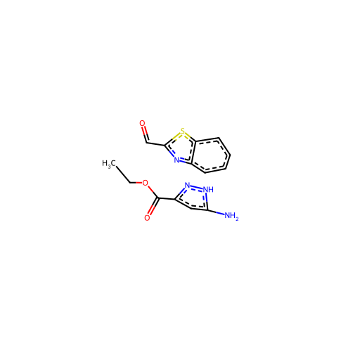 CCOC(=O)c1cc(N)[nH]n1.O=Cc1nc2ccccc2s1